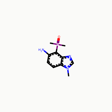 Cn1cnc2c(P(C)(C)=O)c(N)ccc21